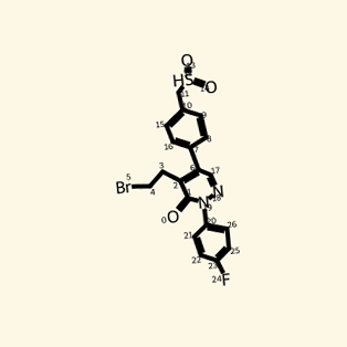 O=c1c(CCBr)c(-c2ccc(C[SH](=O)=O)cc2)cnn1-c1ccc(F)cc1